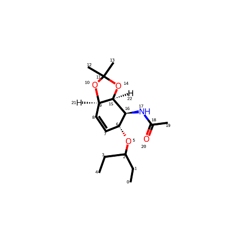 CCC(CC)O[C@@H]1C=C[C@H]2OC(C)(C)O[C@H]2[C@H]1NC(C)=O